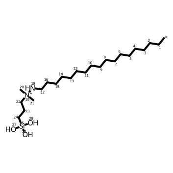 CCCCCCCCCCCCCCCCCCN[N+](C)(C)CCC[Si](O)(O)O